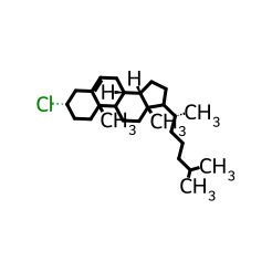 CC(C)CCC[C@@H](C)C1CC[C@H]2[C@H]3CC=C4C[C@@H](Cl)CCC4(C)C3CCC12C